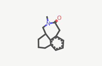 CN1CC2CCCc3cccc(c32)CC1=O